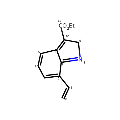 C=Cc1cccc2c1=NCC=2C(=O)OCC